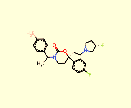 Bc1ccc([C@H](C)N2CC[C@](CCN3CC[C@H](F)C3)(c3ccc(F)cc3)OC2=O)cc1